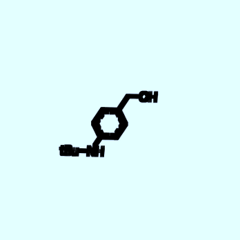 CC(C)(C)Nc1ccc(CO)cc1